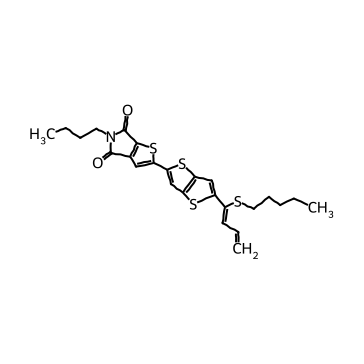 C=C/C=C(\SCCCCC)c1cc2sc(-c3cc4c(s3)C(=O)N(CCCC)C4=O)cc2s1